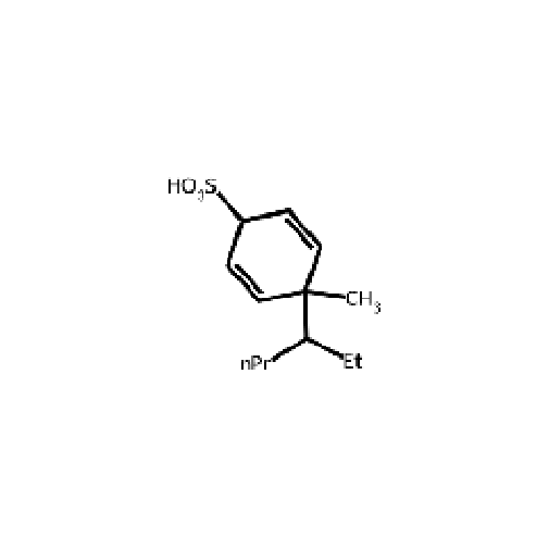 CCCC(CC)C1(C)C=CC(S(=O)(=O)O)C=C1